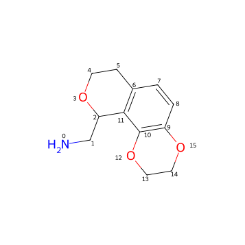 NCC1OCCc2ccc3c(c21)OCCO3